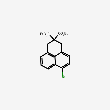 CCOC(=O)C1(C(=O)OCC)Cc2cccc3c(Br)ccc(c23)C1